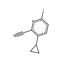 N#Cc1nc(I)ccc1C1CC1